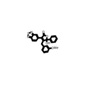 COc1cccc(CC2=C(c3ccc4nsnc4c3)C(=O)OC2(O)c2ccccc2)c1